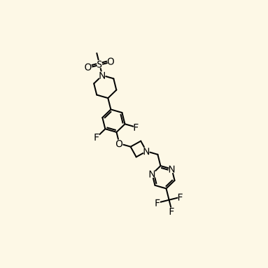 CS(=O)(=O)N1CCC(c2cc(F)c(OC3CN(Cc4ncc(C(F)(F)F)cn4)C3)c(F)c2)CC1